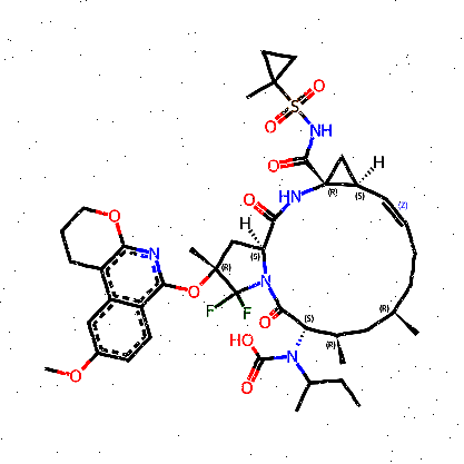 CCC(C)N(C(=O)O)[C@@H]1C(=O)N2[C@@H](C[C@@](C)(Oc3nc4c(c5cc(OC)ccc35)CCCO4)C2(F)F)C(=O)N[C@]2(C(=O)NS(=O)(=O)C3(C)CC3)C[C@H]2/C=C\CC[C@@H](C)C[C@H]1C